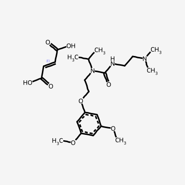 COc1cc(OC)cc(OCCN(C(=O)NCCN(C)C)C(C)C)c1.O=C(O)/C=C/C(=O)O